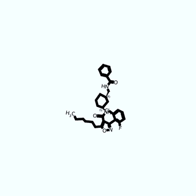 CCCCCCc1onc(-c2c(F)cccc2Cl)c1C(=O)N[C@H]1CCC[C@@H](CNC(=O)c2ccccc2)C1